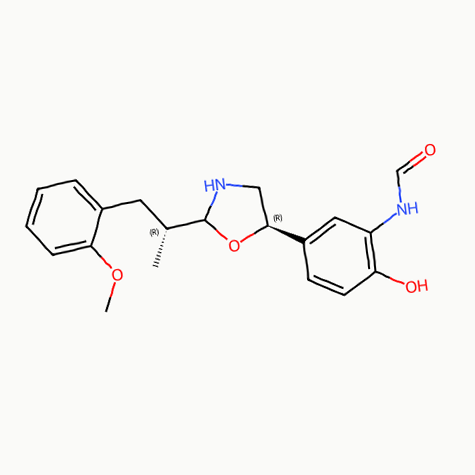 COc1ccccc1C[C@@H](C)C1NC[C@@H](c2ccc(O)c(NC=O)c2)O1